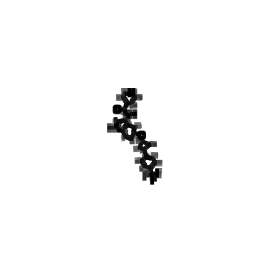 O=C(Nc1c[nH]c2ccc(OC3CC(c4ccc(C(F)(F)F)cc4)C3)cc12)c1ccncc1